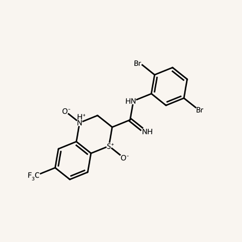 N=C(Nc1cc(Br)ccc1Br)C1C[NH+]([O-])c2cc(C(F)(F)F)ccc2[S+]1[O-]